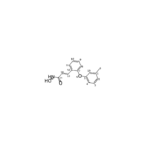 Cc1cccc(Oc2ccccc2/C=C/C(=O)NO)c1